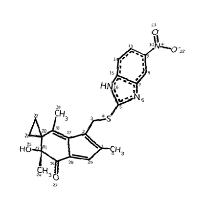 CC1=C(CSc2nc3cc([N+](=O)[O-])ccc3[nH]2)C2=C(C)C3(CC3)[C@@](C)(O)C(=O)C2=C1